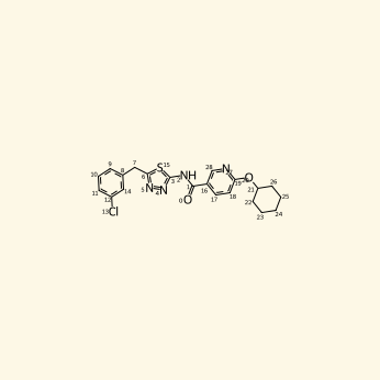 O=C(Nc1nnc(Cc2cccc(Cl)c2)s1)c1ccc(OC2CCCCC2)nc1